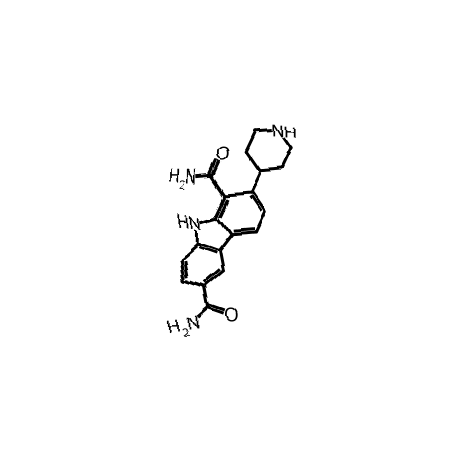 NC(=O)c1ccc2[nH]c3c(C(N)=O)c(C4CCNCC4)ccc3c2c1